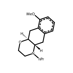 CCCN1CCO[C@H]2Cc3c(cccc3OC)C[C@@H]21